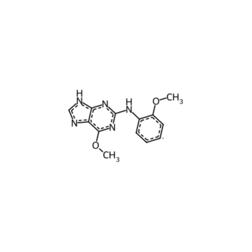 COc1c[c]ccc1Nc1nc(OC)c2nc[nH]c2n1